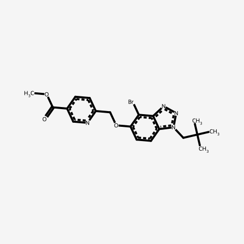 COC(=O)c1ccc(COc2ccc3c(nnn3CC(C)(C)C)c2Br)nc1